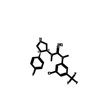 CN(C(=O)N(C)[C@@H]1CNC[C@H]1c1ccc(F)cc1)c1cc(Cl)cc(C(F)(F)F)c1.Cl